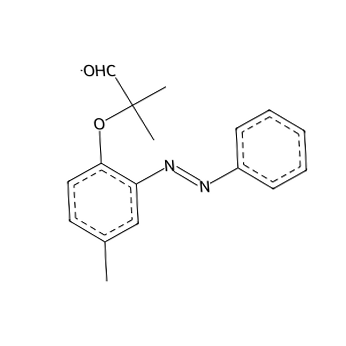 Cc1ccc(OC(C)(C)[C]=O)c(N=Nc2ccccc2)c1